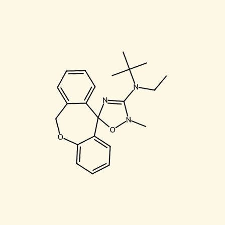 CCN(C1=NC2(ON1C)c1ccccc1COc1ccccc12)C(C)(C)C